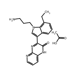 CC(=O)O.CCc1cccc2c(-c3nc4ncccc4[nH]c3=O)cn(CCCN)c12